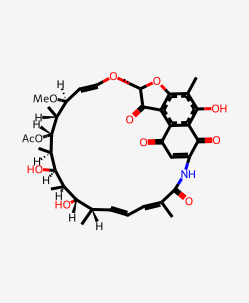 CO[C@H]1/C=C/O[C@@]2(C)Oc3c(C)c(O)c4c(c3C2=O)C(=O)C=C(NC(=O)/C(C)=C/C=C/[C@H](C)[C@H](O)[C@@H](C)[C@@H](O)[C@@H](C)[C@H](OC(C)=O)[C@@H]1C)C4=O